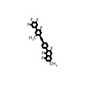 Cc1cc(F)c2c(F)c(-c3ccc(C#Cc4cc(F)c(-c5cc(F)c(F)c(F)c5)cc4C)cc3)c(F)cc2c1